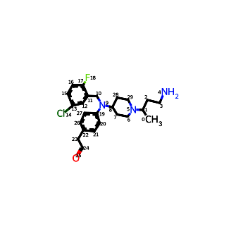 CC(CCN)N1CCC(N(Cc2cc(Cl)ccc2F)c2ccc(CC=O)cc2)CC1